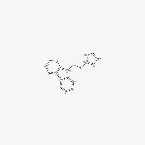 c1ccc2c(c1)c1ccccc1n2CCn1ccnc1